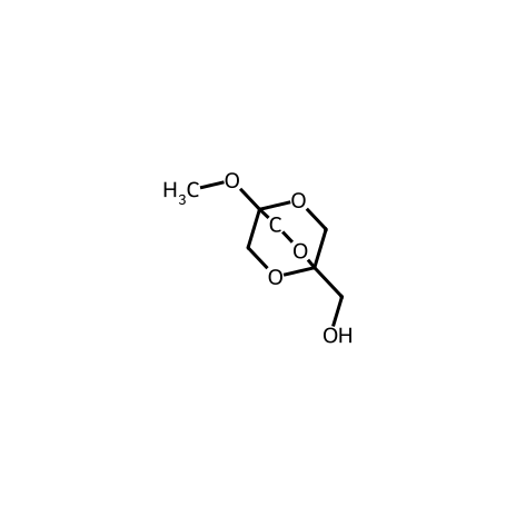 COC12COC(CO)(CO1)OC2